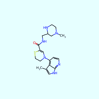 Cc1c[nH]c2nccc(N3C=C(C(=O)NCC4CN(C)CCN4)SCC3)c12